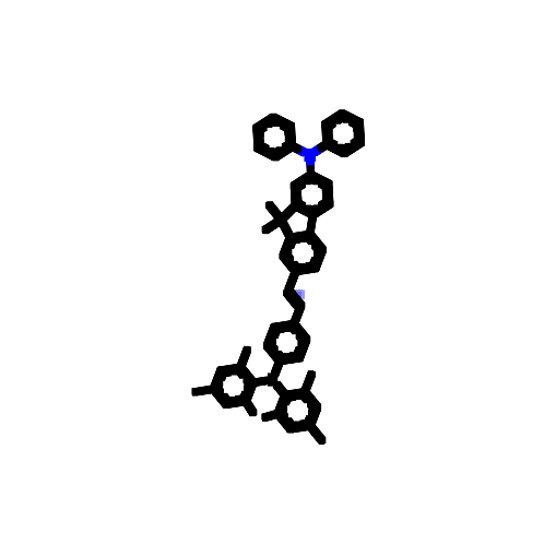 Cc1cc(C)c(B(c2ccc(/C=C/c3ccc4c(c3)C(C)(C)c3cc(N(c5ccccc5)c5ccccc5)ccc3-4)cc2)c2c(C)cc(C)cc2C)c(C)c1